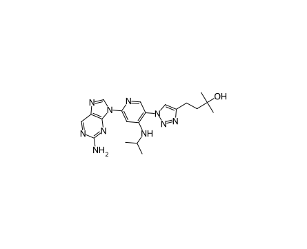 CC(C)Nc1cc(-n2cnc3cnc(N)nc32)ncc1-n1cc(CCC(C)(C)O)nn1